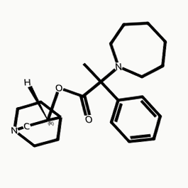 CC(C(=O)O[C@H]1CN2CCC1CC2)(c1ccccc1)N1CCCCCC1